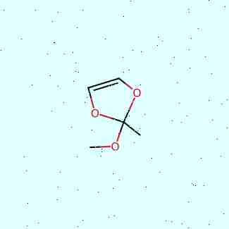 COC1(C)OC=CO1